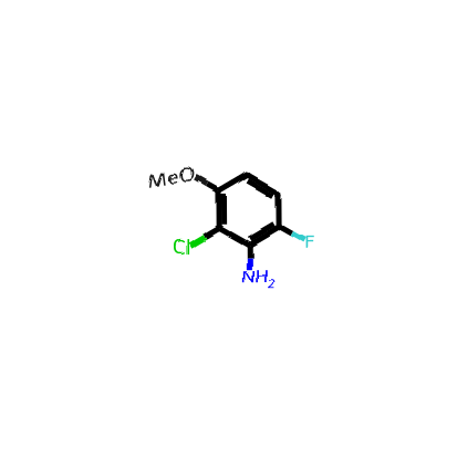 COc1ccc(F)c(N)c1Cl